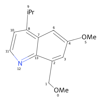 COCc1cc(OC)cc2c(C(C)C)ccnc12